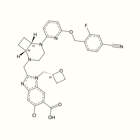 N#Cc1ccc(COc2cccc(N3CCN(Cc4nc5cc(Cl)c(C(=O)O)cc5n4C[C@H]4CCO4)[C@@H]4CC[C@@H]43)n2)c(F)c1